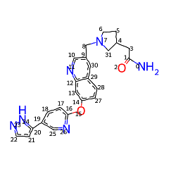 NC(=O)CC1CCN(Cc2cnc3cc(Oc4ccc(-c5ccn[nH]5)cn4)ccc3c2)C1